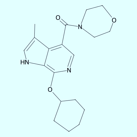 Cc1c[nH]c2c(OC3CCCCC3)ncc(C(=O)N3CCOCC3)c12